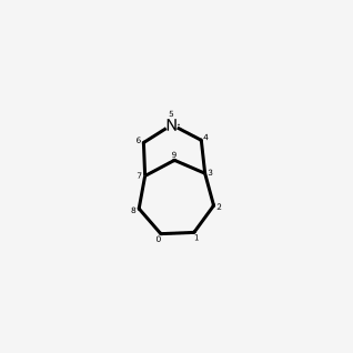 C1CCC2C[N]CC(C1)C2